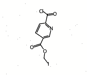 O=C(OCI)c1ccc(C(=O)Cl)nc1